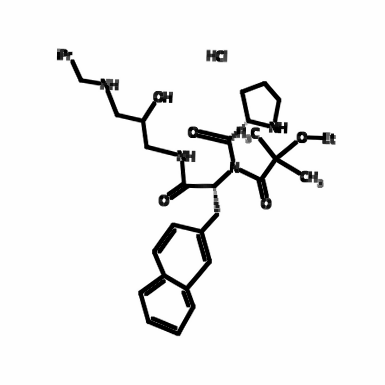 CCOC(C)(C)C(=O)N(C(=O)[C@@H]1CCCN1)[C@H](Cc1ccc2ccccc2c1)C(=O)NCC(O)CNCC(C)C.Cl